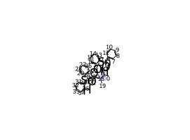 C/C(C(=O)[O][SnH]([c]1ccccc1)[c]1ccccc1)=C(\C)C(=O)[O][SnH]([c]1ccccc1)[c]1ccccc1